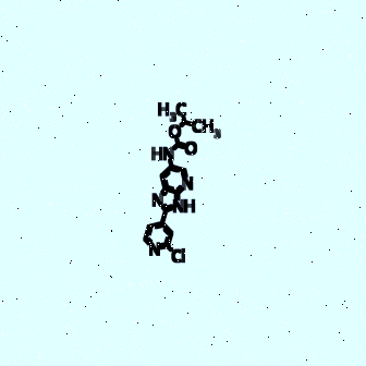 CC(C)OC(=O)Nc1cnc2[nH]c(-c3ccnc(Cl)c3)nc2c1